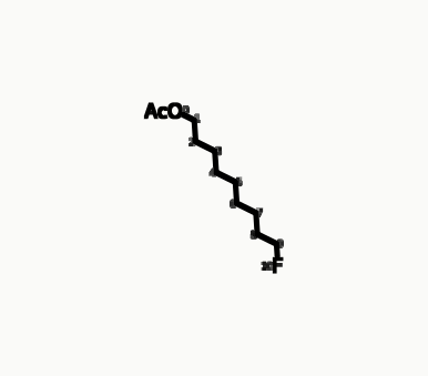 CC(=O)OCCCCCCCCCF